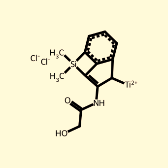 C[Si]1(C)C2=C(NC(=O)CO)[CH]([Ti+2])c3cccc1c32.[Cl-].[Cl-]